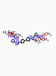 COC(=O)N[C@H](C(=O)N1CCC[C@@H]1c1ncc(-c2ccc(-c3ccc(-c4cnc([C@H]5CCCN5C(=O)[C@@H](NC(=O)OC)C(C)C)[nH]4)cc3)cc2)[nH]1)C(C)C